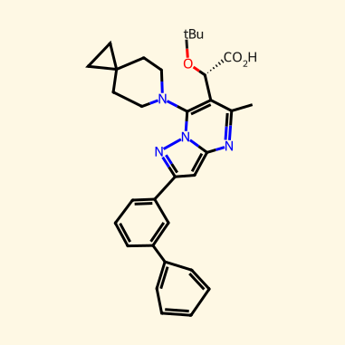 Cc1nc2cc(-c3cccc(-c4ccccc4)c3)nn2c(N2CCC3(CC2)CC3)c1[C@H](OC(C)(C)C)C(=O)O